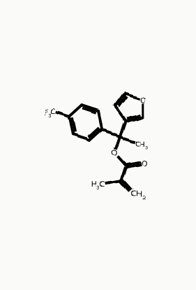 C=C(C)C(=O)OC(C)(c1ccc(C(F)(F)F)cc1)c1ccoc1